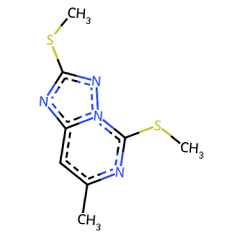 CSc1nc2cc(C)nc(SC)n2n1